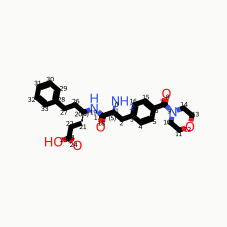 N[C@@H](Cc1ccc(C(=O)N2CCOCC2)cc1)C(=O)N[C@H](CCC(=O)O)CCc1ccccc1